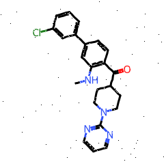 CNc1cc(-c2cccc(Cl)c2)ccc1C(=O)C1CCN(c2ncccn2)CC1